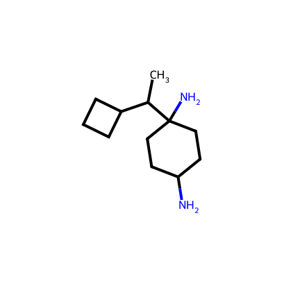 CC(C1CCC1)C1(N)CCC(N)CC1